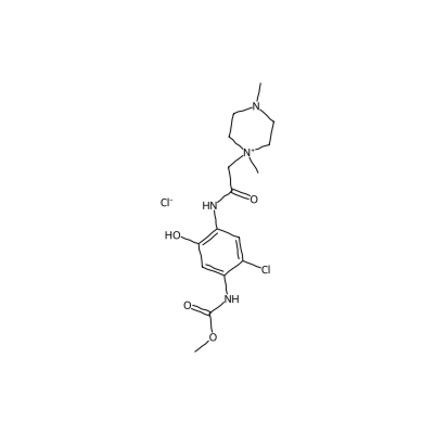 COC(=O)Nc1cc(O)c(NC(=O)C[N+]2(C)CCN(C)CC2)cc1Cl.[Cl-]